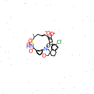 COC[C@@]1(OC)/C=C/C[C@H](C)[C@@H](C)S(=O)(=O)NC(=O)c2ccc3c(c2)N(C[C@@H]2CC[C@H]21)C[C@@]1(CCCc2cc(Cl)ccc21)CO3